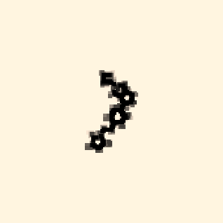 C1=CC(N2CC3CC=C(c4ccc(CCN5CCCC5)cc4)C3C2)=C1